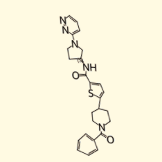 O=C(N[C@H]1CCN(c2cccnn2)C1)c1ccc(C2CCN(C(=O)c3ccccc3)CC2)s1